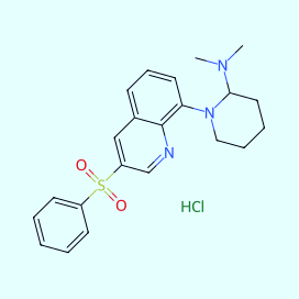 CN(C)C1CCCCN1c1cccc2cc(S(=O)(=O)c3ccccc3)cnc12.Cl